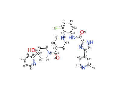 Cc1cc(-c2c[nH]c(C(=O)Nc3cccc(F)c3N3CCC(C(=O)N4CCC(O)(c5ccccn5)CC4)CC3)n2)ccn1